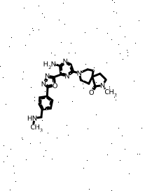 CNCc1ccc(-c2nnc(-c3nc(N4CCC5(CCN(C)C5=O)CC4)cnc3N)o2)cc1